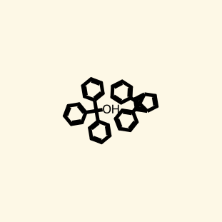 C1=CC2=CC=C1C2(c1ccccc1)c1ccccc1.OC(c1ccccc1)(c1ccccc1)c1ccccc1